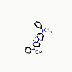 CN(c1ccccc1)c1ccc(-c2ccc(N(C)c3ccccc3)cn2)nc1